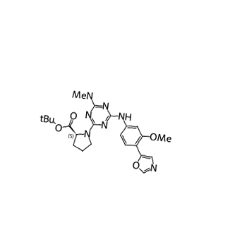 CNc1nc(Nc2ccc(-c3cnco3)c(OC)c2)nc(N2CCC[C@H]2C(=O)OC(C)(C)C)n1